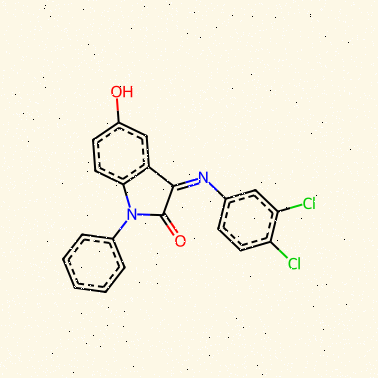 O=C1C(=Nc2ccc(Cl)c(Cl)c2)c2cc(O)ccc2N1c1ccccc1